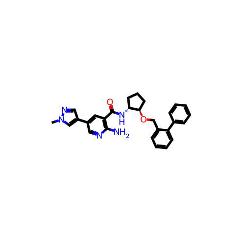 Cn1cc(-c2cnc(N)c(C(=O)N[C@@H]3CCC[C@H]3OCc3ccccc3-c3ccccc3)c2)cn1